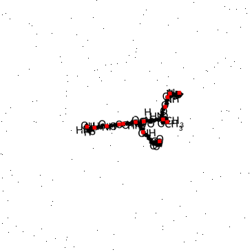 CC1(C)CC(=O)C(=C(CCCCC(=O)NCCCC[C@H](NC(=O)CCC(=O)NCCCCCC(=O)ON2C(=O)CCC2=O)C(=O)NCCCOCCOCCOCCCNC(=O)CCCC[C@@H]2SC[C@@H]3NC(=O)N[C@@H]32)NCCOCCOCCNC(=O)c2nnn(-c3ccccc3)n2)C(=O)C1